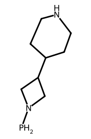 PN1CC(C2CCNCC2)C1